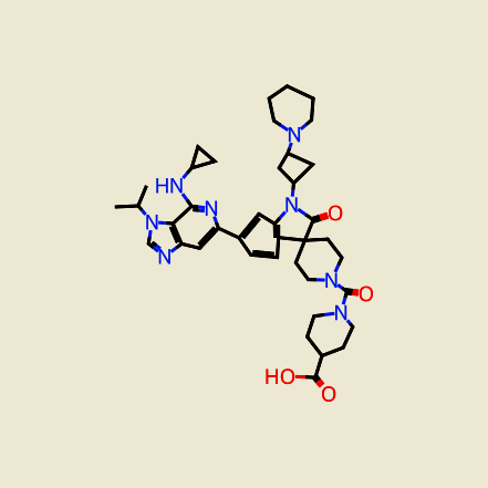 CC(C)n1cnc2cc(-c3ccc4c(c3)N(C3CC(N5CCCCC5)C3)C(=O)C43CCN(C(=O)N4CCC(C(=O)O)CC4)CC3)nc(NC3CC3)c21